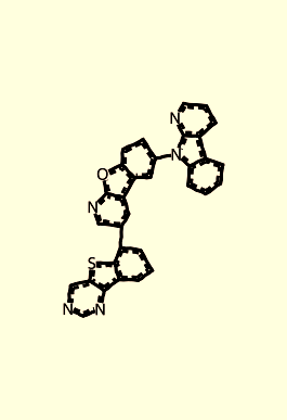 c1cc(-c2cnc3oc4ccc(-n5c6ccccc6c6cccnc65)cc4c3c2)c2sc3cncnc3c2c1